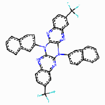 FC(F)(F)c1ccc2nc3c(nc2c1)N(c1ccc2ccccc2c1)c1nc2cc(C(F)(F)F)ccc2nc1N3c1ccc2ccccc2c1